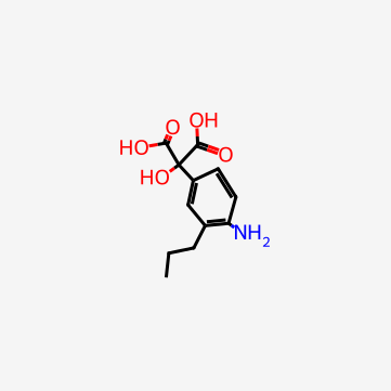 CCCc1cc(C(O)(C(=O)O)C(=O)O)ccc1N